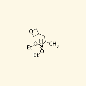 CCO[SiH](OCC)C(C)CC1COC1